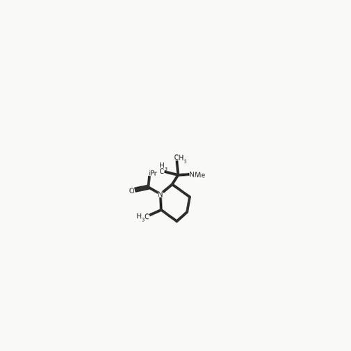 CNC(C)(C)C1CCCC(C)N1C(=O)C(C)C